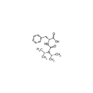 CC(C)N(C(=O)N[C@@H](Cc1ccccc1)C(=O)O)C(C)C